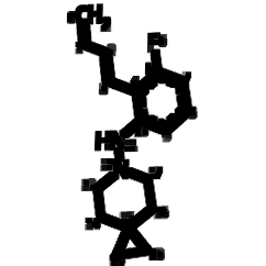 C=C/C=C/c1c(F)cccc1NN1CCC2(CC1)CC2